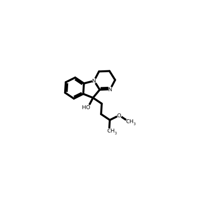 COC(C)CCC1(O)C2=NCCCN2c2ccccc21